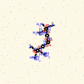 COc1cc(OC)c(C(=O)NC2CCC(NC(=O)c3cc(C(=O)NCCN(C)C)c(OCCNC(=N)N)cc3OCCNC(=N)N)CC2)cc1C(=O)NC1CCC(NC(=O)c2cc(C(=O)NCCN(C)C)c(OCCN)cc2OCCNC(=N)N)CC1